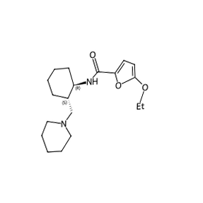 CCOc1ccc(C(=O)N[C@@H]2CCCC[C@H]2CN2CCCCC2)o1